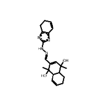 CC1(O)C=C(/C=N/Nc2nc3c(s2)C=CCC3)C(C)(O)C2C=CCCC21